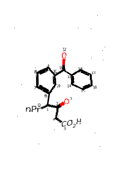 CCCC(C(=O)CC(=O)O)c1cccc(C(=O)c2ccccc2)c1